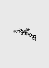 C#Cc1nc(NC(=O)N2CCN(c3ccc(-c4cccc5ncsc45)cc3)C[C@H]2CO)cs1